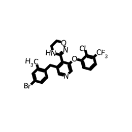 Cc1cc(Br)ccc1Cc1cncc(Oc2cccc(C(F)(F)F)c2Cl)c1C1=NOCCN1